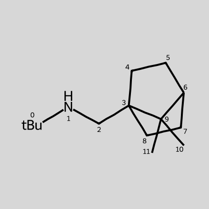 CC(C)(C)NCC12CCC(CC1)C2(C)C